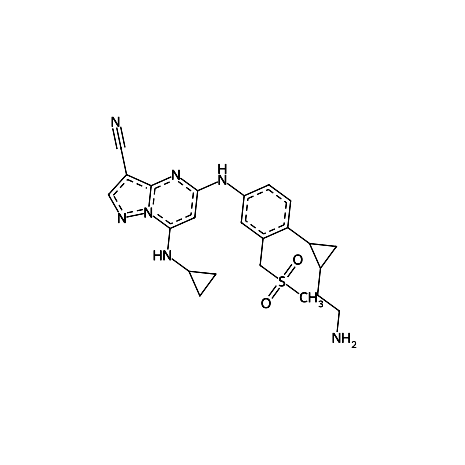 CS(=O)(=O)Cc1cc(Nc2cc(NC3CC3)n3ncc(C#N)c3n2)ccc1C1CC1CCN